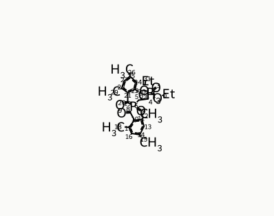 CCOP(=O)(CCP(=O)(C(=O)c1c(C)cc(C)cc1C)C(=O)c1c(C)cc(C)cc1C)OCC